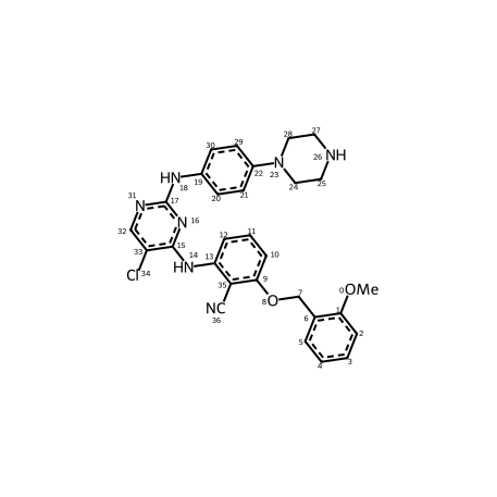 COc1ccccc1COc1cccc(Nc2nc(Nc3ccc(N4CCNCC4)cc3)ncc2Cl)c1C#N